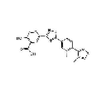 Cc1cc(-c2nc(-c3ccc(O)c(C(=O)O)c3)no2)ccc1-c1cscc1C